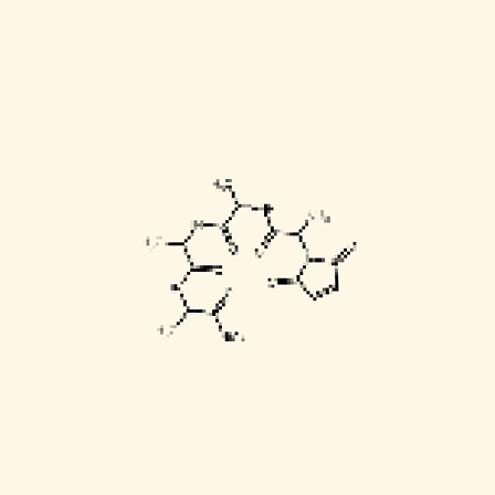 CNC(=O)C(C)NC(=O)C(C)NC(=O)C(C)NC(=O)C(C)N1C(=O)C=CC1=O